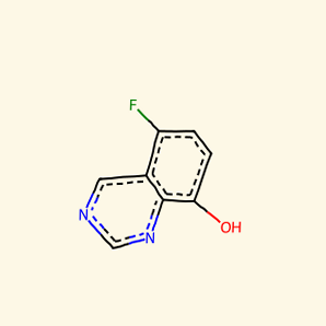 Oc1ccc(F)c2cncnc12